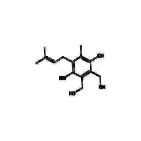 CC(C)=CCc1c(C)c(O)c(CO)c(CO)c1O